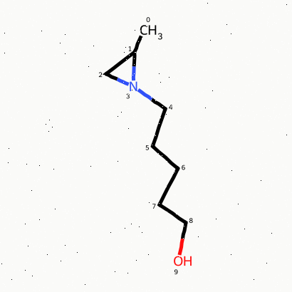 CC1CN1CCCCCO